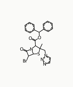 CC1(Cn2ccnn2)SC2C(Br)C(=O)N2C1C(=O)OC(c1ccccc1)c1ccccc1